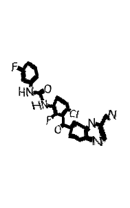 N#Cc1cnc2ccc(C(=O)c3c(Cl)ccc(NC(=O)Nc4cccc(F)c4)c3F)cc2n1